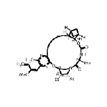 C=C/C(=C\c1nc2c(nc1C)CCCCC[C@@H]1[C@H]3C[C@H](C3)[C@H]1OC(=O)N[C@@H](C(C)(C)C)C(=O)N1C[C@H](O2)[C@@H](CC)[C@H]1C(C)=O)OC